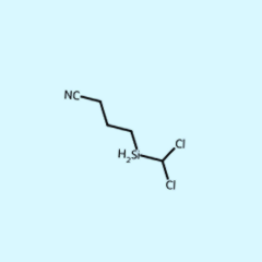 N#CCCC[SiH2]C(Cl)Cl